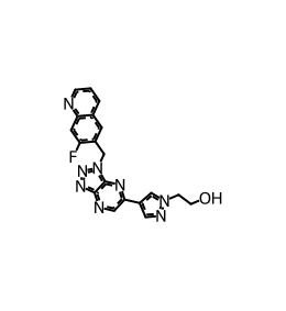 OCCn1cc(-c2cnc3nnn(Cc4cc5cccnc5cc4F)c3n2)cn1